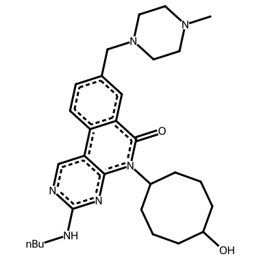 CCCCNc1ncc2c3ccc(CN4CCN(C)CC4)cc3c(=O)n(C3CCCC(O)CCC3)c2n1